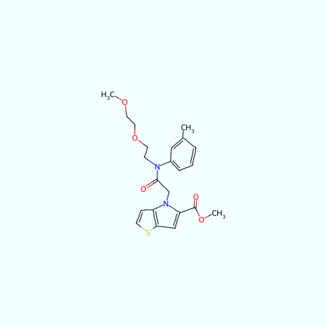 COCCOCCN(C(=O)Cn1c(C(=O)OC)cc2sccc21)c1cccc(C)c1